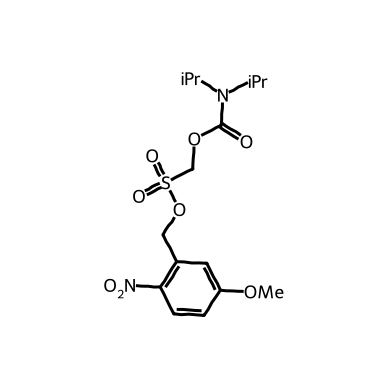 COc1ccc([N+](=O)[O-])c(COS(=O)(=O)COC(=O)N(C(C)C)C(C)C)c1